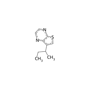 CCC(C)c1csc2nccnc12